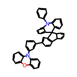 C1=CC2c3ccc(-c4cccc(N5c6ccccc6Oc6ccccc65)c4)cc3C3(c4ccccc4N(c4ccccc4)c4ccccc43)C2C=C1